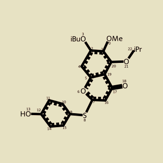 COc1c(OCC(C)C)cc2oc(Sc3ccc(O)cc3)cc(=O)c2c1OC(C)C